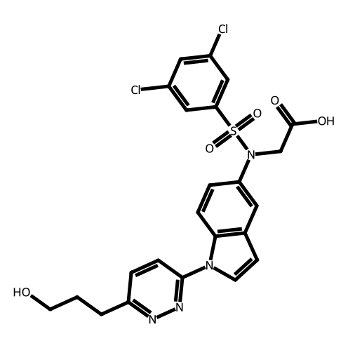 O=C(O)CN(c1ccc2c(ccn2-c2ccc(CCCO)nn2)c1)S(=O)(=O)c1cc(Cl)cc(Cl)c1